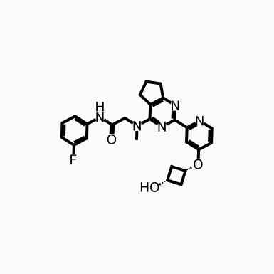 CN(CC(=O)Nc1cccc(F)c1)c1nc(-c2cc(O[C@H]3C[C@@H](O)C3)ccn2)nc2c1CCC2